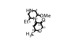 CCC1CNCC(OC)N1C1=CC(C)OCC1=O